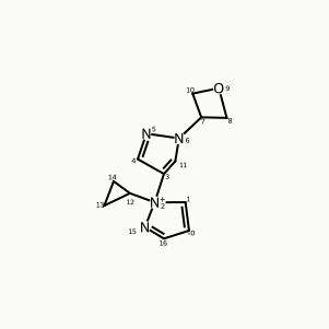 [C]1=C[N+](c2cnn(C3COC3)c2)(C2CC2)N=C1